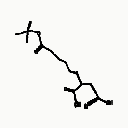 CC(C)(C)OC(=O)CCCCSC(CC(=O)O)C(=O)O